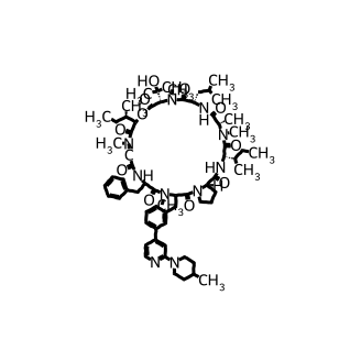 CCC(C)[C@@H]1NC(=O)[C@@H]2CCCN2C(=O)C(Cc2cccc(-c3ccnc(N4CCC(C)CC4)c3)c2)N(C)C(=O)C(Cc2ccccc2)NC(=O)CN(C)C(=O)C([C@H](C)CC)OC(=O)[C@H](C(C)(C)O)N(C)C(=O)[C@H](CC(C)C)NC(=O)[C@H](C)N(C)C1=O